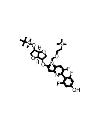 CC(C)(C)[Si](C)(C)OC1CO[C@H]2[C@@H]1OC[C@H]2Oc1cc2nc(-c3c(F)cc(O)cc3F)c(F)cc2n1COCC[Si](C)(C)C